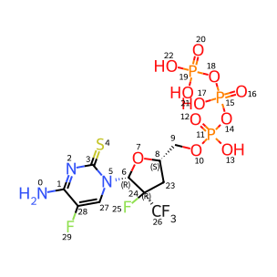 Nc1nc(=S)n([C@@H]2O[C@H](COP(=O)(O)OP(=O)(O)OP(=O)(O)O)C[C@]2(F)C(F)(F)F)cc1F